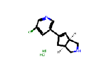 Cl.Cl.Clc1cncc(C2=C[C@H]3CNC[C@H]3C2)c1